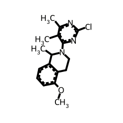 COc1cccc2c1CCN(c1nc(Cl)nc(C)c1C)C2C